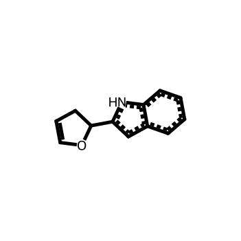 C1=COC(c2cc3ccccc3[nH]2)C1